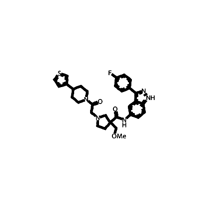 COCC1(C(=O)Nc2ccc3[nH]nc(-c4ccc(F)cc4)c3c2)CCN(CC(=O)N2CCC(c3ccsc3)CC2)C1